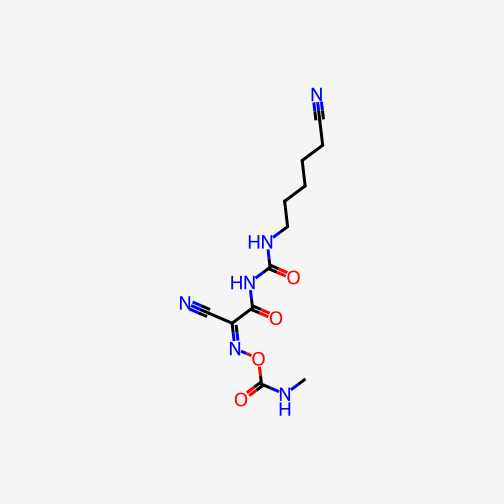 CNC(=O)ON=C(C#N)C(=O)NC(=O)NCCCCCC#N